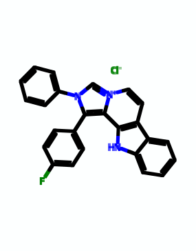 Fc1ccc(-c2c3c4[nH]c5ccccc5c4cc[n+]3cn2-c2ccccc2)cc1.[Cl-]